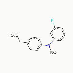 O=NN(c1ccc(CC(=O)O)cc1)c1cccc(F)c1